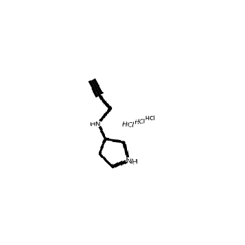 C#CCNC1CCNC1.Cl.Cl.Cl